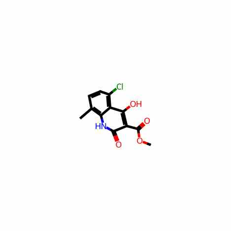 COC(=O)c1c(O)c2c(Cl)ccc(C)c2[nH]c1=O